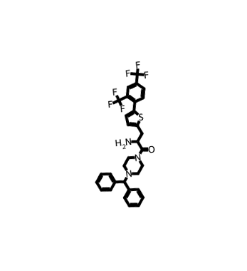 NC(Cc1ccc(-c2ccc(C(F)(F)F)cc2C(F)(F)F)s1)C(=O)N1CCN(C(c2ccccc2)c2ccccc2)CC1